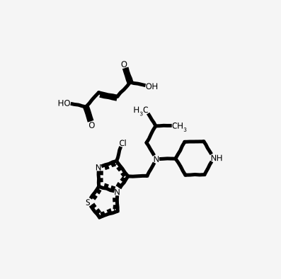 CC(C)CN(Cc1c(Cl)nc2sccn12)C1CCNCC1.O=C(O)/C=C/C(=O)O